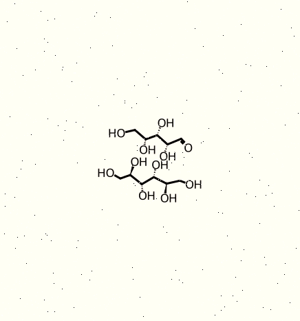 O=C[C@H](O)[C@@H](O)[C@H](O)CO.OC[C@@H](O)[C@@H](O)[C@H](O)[C@H](O)CO